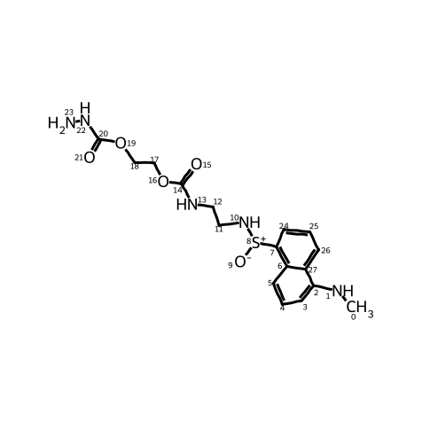 CNc1cccc2c([S+]([O-])NCCNC(=O)OCCOC(=O)NN)cccc12